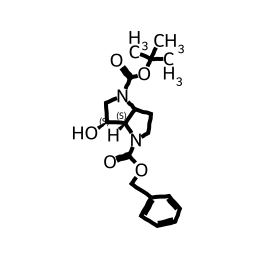 CC(C)(C)OC(=O)N1C[C@H](O)[C@@H]2C1CCN2C(=O)OCc1ccccc1